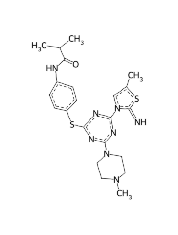 Cc1cn(-c2nc(Sc3ccc(NC(=O)C(C)C)cc3)nc(N3CCN(C)CC3)n2)c(=N)s1